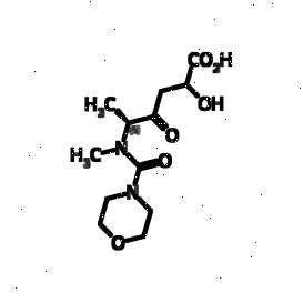 C[C@@H](C(=O)CC(O)C(=O)O)N(C)C(=O)N1CCOCC1